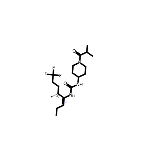 CC/C=C(/NC(=O)NC1CCN(C(=O)C(C)C)CC1)[C@H](C)CCC(F)(F)F